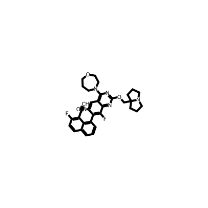 C#Cc1c(F)ccc2cccc(-c3c([N+](=O)[O-])cc4c(N5CCCOCC5)nc(OCC56CCCN5CCC6)nc4c3F)c12